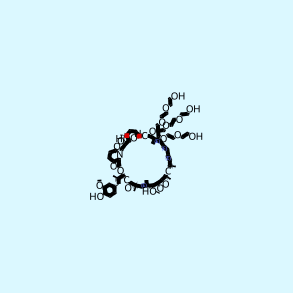 CO[C@@H]1C[C@H](C[C@@H](C)[C@@H]2CC(=O)[C@H](C)/C=C(\C)[C@@H](O)[C@@H](OC)C(=O)[C@H](C)C[C@H](C)/C=C/C=C/C=C(\C)C(OC(COCCOCCO)(COCCOCCO)COCCOCCO)C[C@@H]3CC[C@@H](C)[C@@](O)(O3)C(=O)C(=O)N3CCCCC3C(=O)O2)CC[C@H]1O